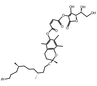 Cc1c(C)c2c(c(C)c1OC(=O)/C=C\C(=O)OC1=C(O)[C@@H]([C@@H](O)CO)OC1=O)CC[C@@](C)(CCC[C@H](C)CCC[C@H](C)CCCC(C)C)O2